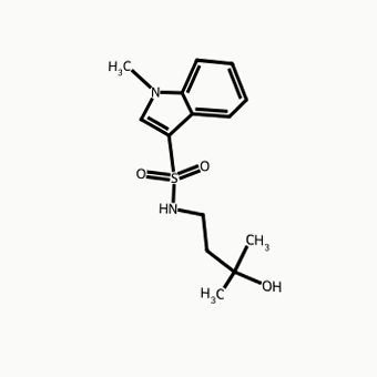 Cn1cc(S(=O)(=O)NCCC(C)(C)O)c2ccccc21